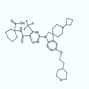 O=C(NC1(C(=O)O)CCCCC1)c1cnc(N2CC3(CCN(C4CCC4)CC3)c3cc(OCCC4CCOCC4)ccc32)nc1C(F)(F)F